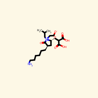 CC(C)C[N+]1(CC(=O)[O-])C(=O)[C@H](CCCCCCN)C[C@H]1CC(C(=O)O)C(=O)O